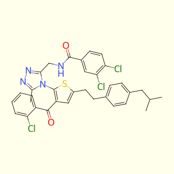 Cc1nnc(CNC(=O)c2ccc(Cl)c(Cl)c2)n1-c1sc(CCc2ccc(CC(C)C)cc2)cc1C(=O)c1ccccc1Cl